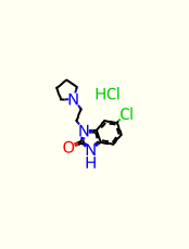 Cl.O=c1[nH]c2ccc(Cl)cc2n1CCN1CCCC1